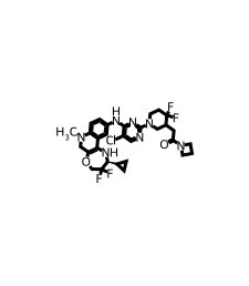 CN1CC2=C(N[C@@H](C3CC3)C(F)(F)CO2)c2cc(Nc3nc(N4CCC(F)(F)C(CC(=O)N5CCC5)C4)ncc3Cl)ccc21